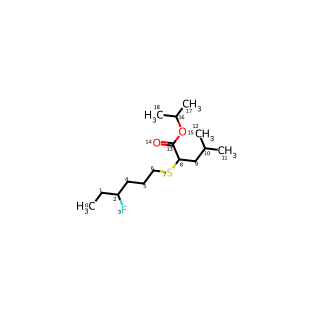 CCC(F)CCCSC(CC(C)C)C(=O)OC(C)C